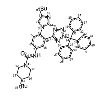 CC(C)(C)c1cn(-c2ccc(NC(=O)N3CCC(C(C)(C)C)CC3)cc2-c2nnn(C(c3ccccc3)(c3ccccc3)c3ccccc3)n2)cn1